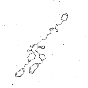 O=C(NCCCCC1NC(=O)C2(CCN(CCc3ccccc3)CC2)N(C2CCN(Cc3ccccc3)C2)C1=O)OCc1ccccc1